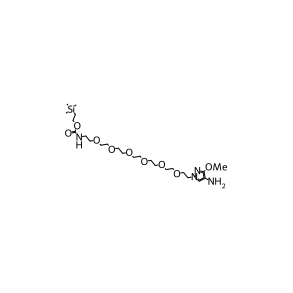 COc1nn(CCOCCOCCOCCOCCOCCOCCNC(=O)OCC[Si](C)(C)C)cc1N